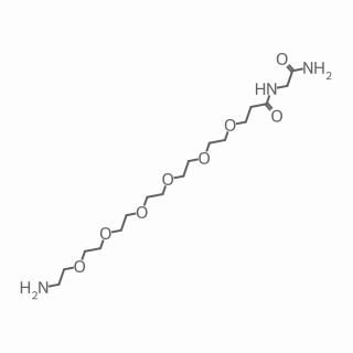 NCCOCCOCCOCCOCCOCCOCCC(=O)NCC(N)=O